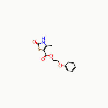 Cc1[nH]c(=O)sc1C(=O)OCCOc1ccccc1